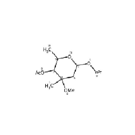 CCCOC1CC(C)(OC)C(OC(C)=O)C(C)O1